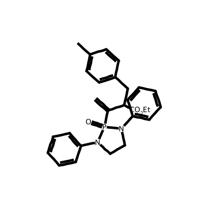 C=C(C(Cc1ccc(C)cc1)C(=O)OCC)P1(=O)N(c2ccccc2)CCN1c1ccccc1